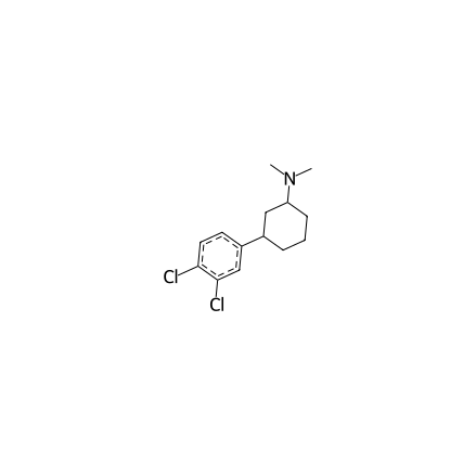 CN(C)C1CCCC(c2ccc(Cl)c(Cl)c2)C1